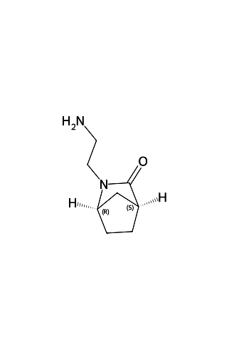 NCCN1C(=O)[C@H]2CC[C@@H]1C2